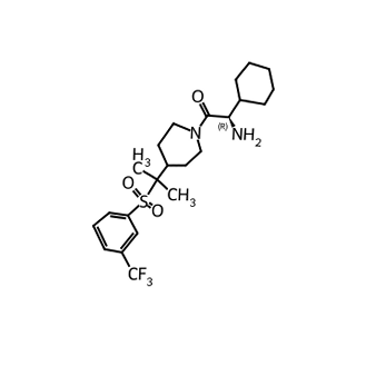 CC(C)(C1CCN(C(=O)[C@H](N)C2CCCCC2)CC1)S(=O)(=O)c1cccc(C(F)(F)F)c1